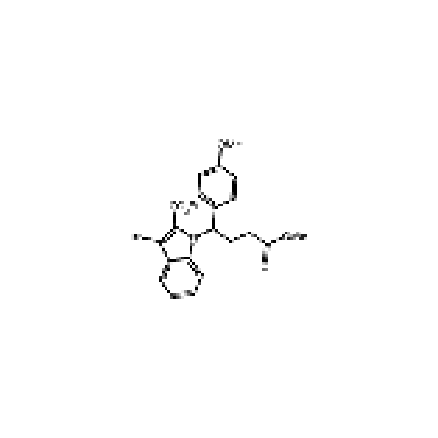 CCOC(=O)c1c(Br)c2ccccc2n1C(CCC(=O)OC)c1ccc(OC)cc1